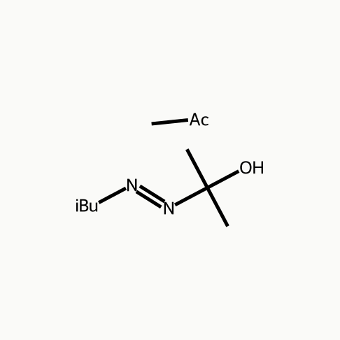 CC(C)=O.CCC(C)/N=N/C(C)(C)O